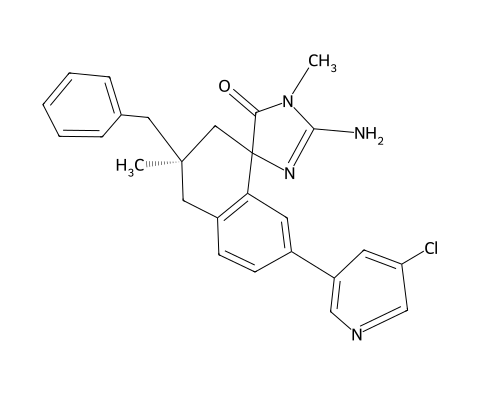 CN1C(=O)C2(C[C@](C)(Cc3ccccc3)Cc3ccc(-c4cncc(Cl)c4)cc32)N=C1N